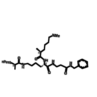 CCCCC[C@H](C)C(=O)NCCCC[C@H](NC(=O)[C@@H](C)CCCCNC)C(=O)NCCC(=O)NCc1ccccc1